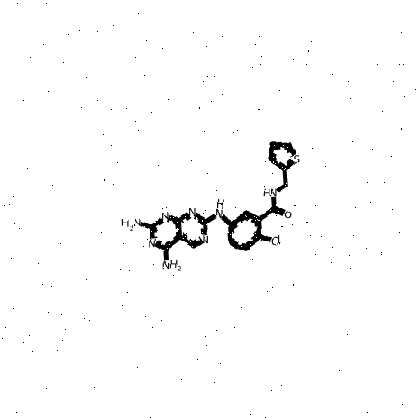 Nc1nc(N)c2cnc(Nc3ccc(Cl)c(C(=O)NCc4cccs4)c3)nc2n1